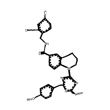 CNc1nc(-c2ccc(OC)cc2)nc(N2CCCc3cc(C(=O)NCc4ccc(Cl)cc4Cl)ccc32)n1